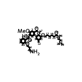 COc1cc(C(=O)N(C)c2ccc(C)cc2OCCCCCC(=O)N(C)CCN(C)C)ccc1NC(=O)c1ccccc1OCCCN